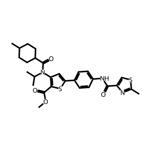 COC(=O)c1sc(-c2ccc(NC(=O)c3csc(C)n3)cc2)cc1N(C(=O)C1CCC(C)CC1)C(C)C